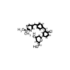 CN(C)c1ncc(Cc2ccc(Cc3cc([C@H]4C[C@@H](O)C[C@@H](CO)O4)ccc3Cl)cc2)cn1